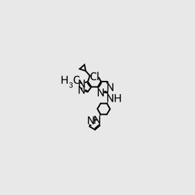 Cn1ncc(-c2nc(N[C@H]3CC[C@H](n4cccn4)CC3)ncc2Cl)c1CC1CC1